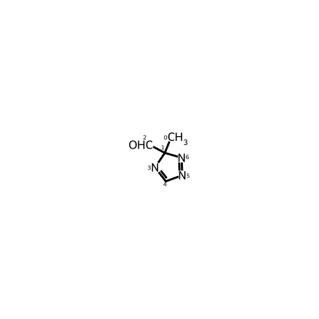 CC1(C=O)N=CN=N1